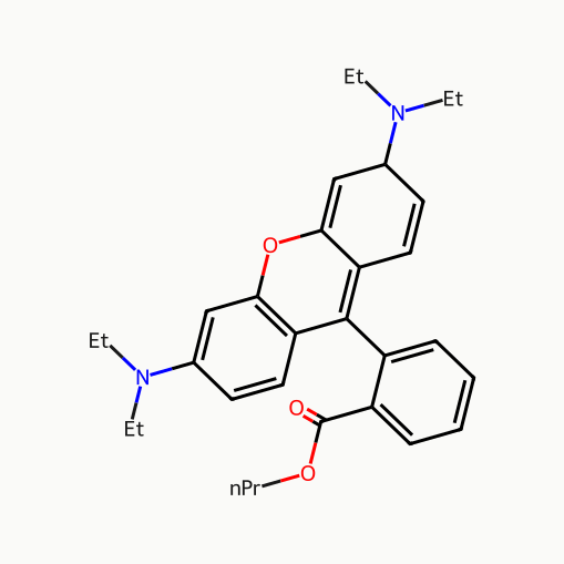 CCCOC(=O)c1ccccc1C1=C2C=CC(N(CC)CC)C=C2Oc2cc(N(CC)CC)ccc21